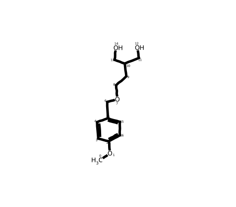 COc1ccc(COCCC(CO)CO)cc1